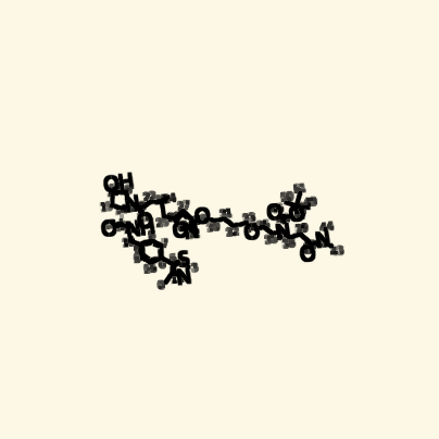 Cc1ncsc1-c1ccc(CNC(=O)[C@@H]2CC(O)CN2C(=O)CC(C)Cc2cc(OCCCCOCCN(CCC(=O)N(C)C)C(=O)OC(C)(C)C)no2)cc1